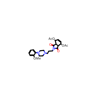 COc1ccccc1N1CCN(CCCN2C(=O)C3C(OC(C)=O)C=CC(OC(C)=O)C3C2=O)CC1